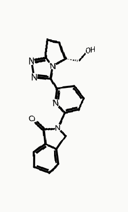 O=C1c2ccccc2CN1c1cccc(-c2nnc3n2[C@@H](CO)CC3)n1